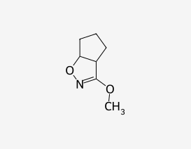 COC1=NOC2CCCC12